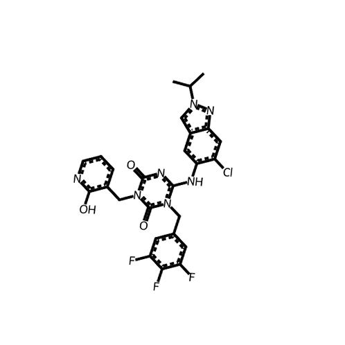 CC(C)n1cc2cc(Nc3nc(=O)n(Cc4cccnc4O)c(=O)n3Cc3cc(F)c(F)c(F)c3)c(Cl)cc2n1